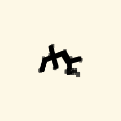 CCC(C)(C)/C=C(/C)N